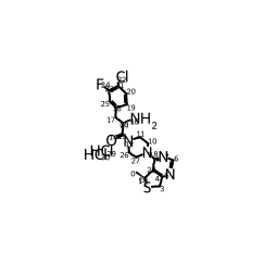 C[C@@H]1SCc2ncnc(N3CCN(C(=O)[C@H](N)Cc4ccc(Cl)c(F)c4)CC3)c21.Cl.Cl